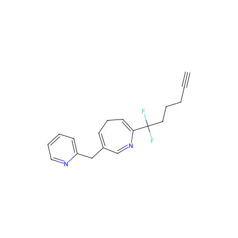 C#CCCCC(F)(F)C1=CCC=C(Cc2ccccn2)C=N1